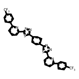 FC(F)(F)c1ccc(-c2cccc(-c3nnc(-c4ccc(-c5nnc(-c6cccc(-c7ccc(C(F)(F)F)cc7)n6)s5)cc4)s3)n2)cc1